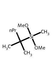 CCCC(C)(C)[Si](C)(OC)OC